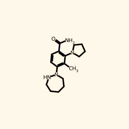 Cc1c(N2CCCCCN2)ccc(C(N)=O)c1N1CCCC1